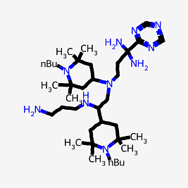 CCCCN1C(C)(C)CC(C(CN(CCC(N)(N)c2ncncn2)C2CC(C)(C)N(CCCC)C(C)(C)C2)NCCCN)CC1(C)C